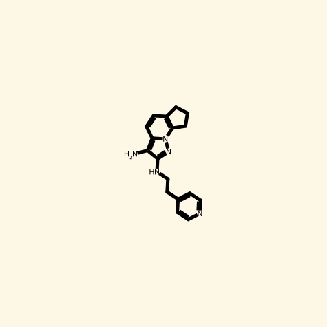 Nc1c(NCCc2ccncc2)nn2c3c(ccc12)CCC3